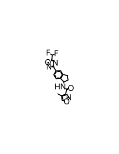 Cc1conc1C(=O)NC1CCc2cc(-c3noc(C(F)F)n3)ccc21